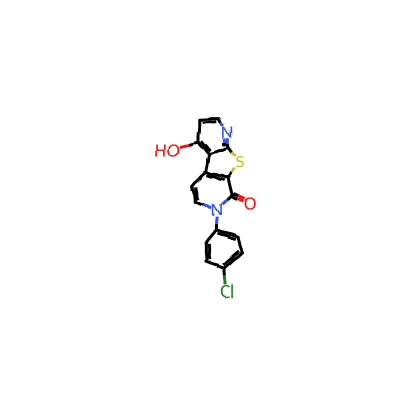 O=c1c2sc3nccc(O)c3c2ccn1-c1ccc(Cl)cc1